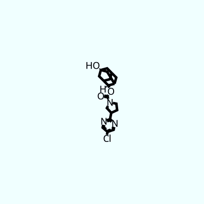 O=C(O[C@H]1C2CC3CC1C[C@](O)(C3)C2)N1CCC(c2ncc(Cl)cn2)C1